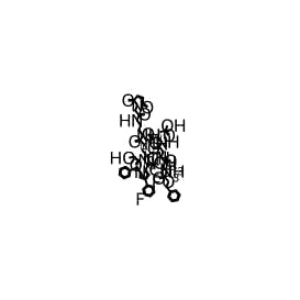 CC(C)(C)[C@H](c1cc(-c2cc(F)ccc2F)cn1Cc1ccccc1)N(CC[C@H](NC(=O)[C@H](CC(=O)O)NC(=O)CNC(=O)CNC(=O)OCc1ccccc1)C(=O)NCCNC(=O)CN1C(=O)C=CC1=O)C(=O)CO